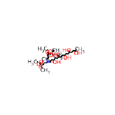 CCO[Si](CCCN(CCC[Si](OCC)(OCC)OCC)CCC(O)CCC(O)CCC(O)CCC(O)CCC(C)O)(OCC)OCC